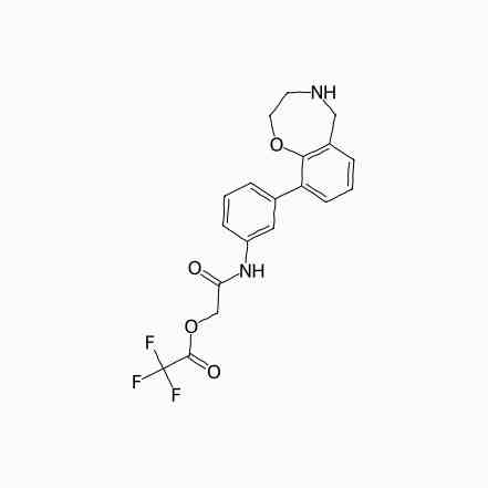 O=C(COC(=O)C(F)(F)F)Nc1cccc(-c2cccc3c2OCCNC3)c1